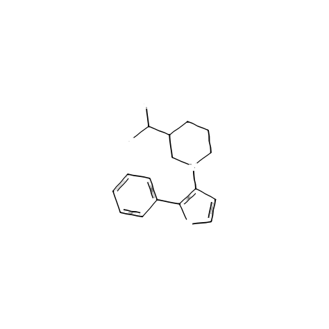 CC(Br)C1CCCN(c2ccsc2-c2ccccc2)C1